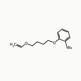 C=COCCCCOc1ccccc1C(C)(C)C